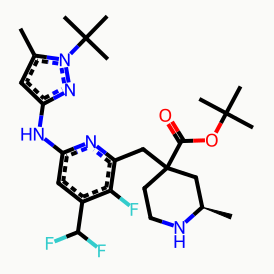 Cc1cc(Nc2cc(C(F)F)c(F)c(CC3(C(=O)OC(C)(C)C)CCN[C@H](C)C3)n2)nn1C(C)(C)C